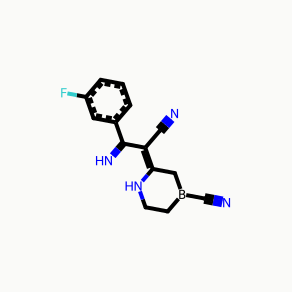 N#CB1CCN/C(=C(/C#N)C(=N)c2cccc(F)c2)C1